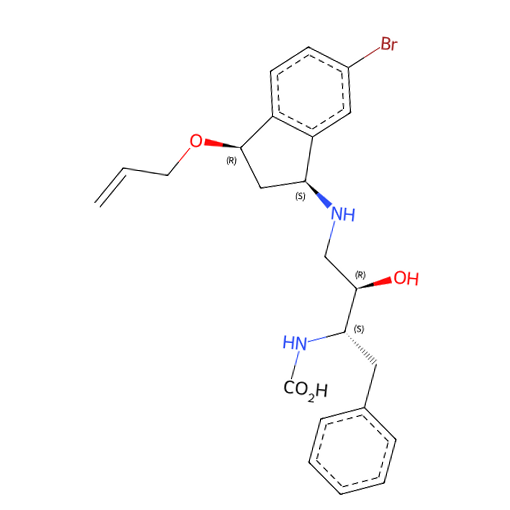 C=CCO[C@@H]1C[C@H](NC[C@@H](O)[C@H](Cc2ccccc2)NC(=O)O)c2cc(Br)ccc21